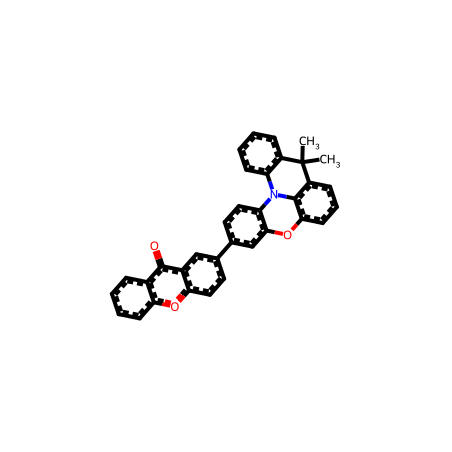 CC1(C)c2ccccc2N2c3ccc(-c4ccc5oc6ccccc6c(=O)c5c4)cc3Oc3cccc1c32